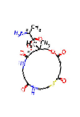 C[C@H](N)C(=O)O[C@H]1C(=O)NCCC(=O)NCCSC(=O)CCC(=O)OCC1(C)C